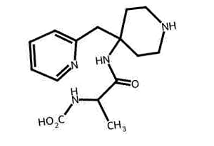 CC(NC(=O)O)C(=O)NC1(Cc2ccccn2)CCNCC1